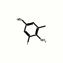 CCCCc1cc(C)c(N)c(I)c1